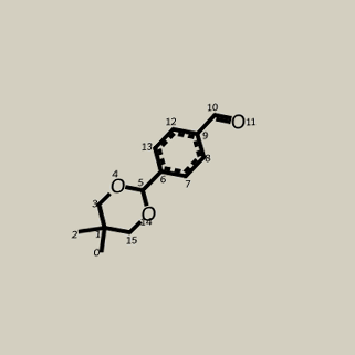 CC1(C)COC(c2ccc(C=O)cc2)OC1